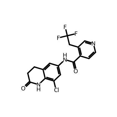 O=C1CCc2cc(NC(=O)c3ccncc3CC(F)(F)F)cc(Cl)c2N1